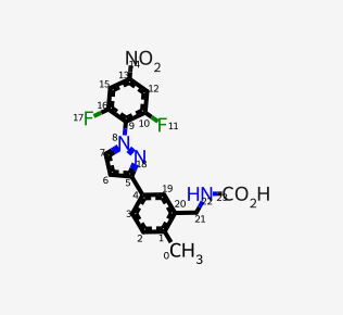 Cc1ccc(-c2ccn(-c3c(F)cc([N+](=O)[O-])cc3F)n2)cc1CNC(=O)O